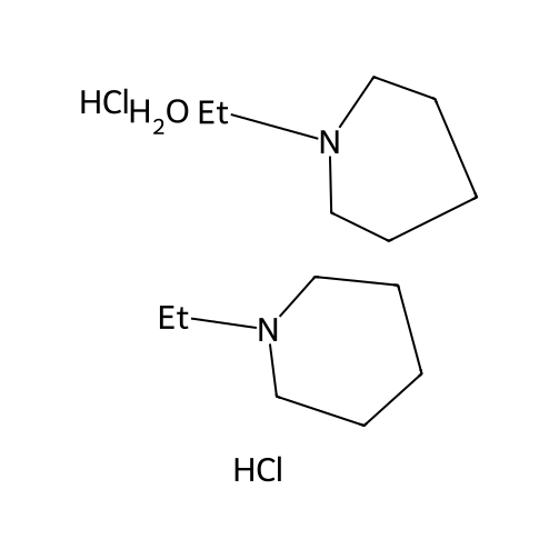 CCN1CCCCC1.CCN1CCCCC1.Cl.Cl.O